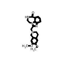 COc1cc2c(cc1OC)CN(Cc1nc3cccc4c3n1CCNC4=O)CC2